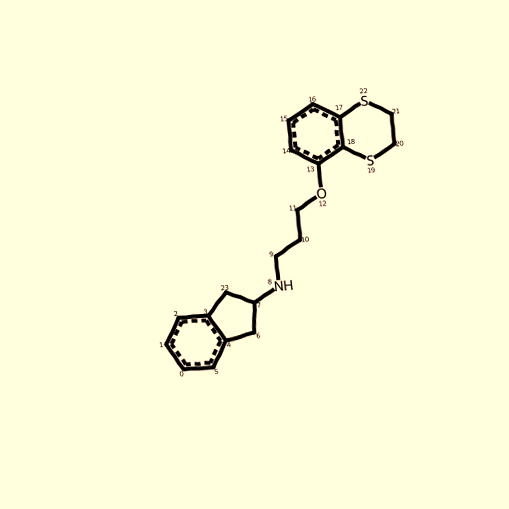 c1ccc2c(c1)CC(NCCCOc1cccc3c1SCCS3)C2